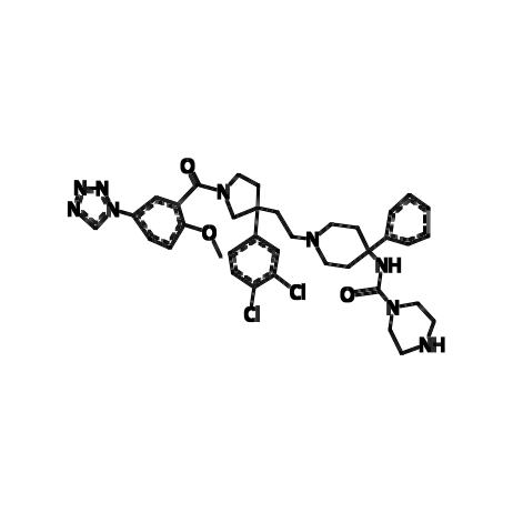 COc1ccc(-n2cnnn2)cc1C(=O)N1CCC(CCN2CCC(NC(=O)N3CCNCC3)(c3ccccc3)CC2)(c2ccc(Cl)c(Cl)c2)C1